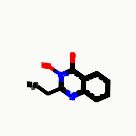 CCc1nc2ccccc2c(=O)n1O